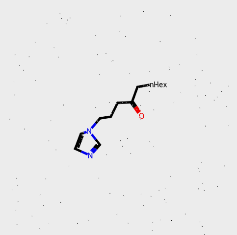 CCCCCCCC(=O)CCCn1ccnc1